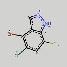 Fc1cc(Cl)c(Br)c2cn[nH]c12